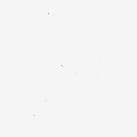 COC(=O)CCCC=C[C@@H]1C[C@@H](NS(=O)(=O)c2ccc(Cl)cc2)CN1Cc1ccc[nH]1